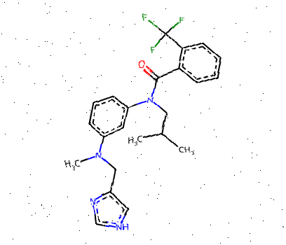 CC(C)CN(C(=O)c1ccccc1C(F)(F)F)c1cccc(N(C)Cc2c[nH]cn2)c1